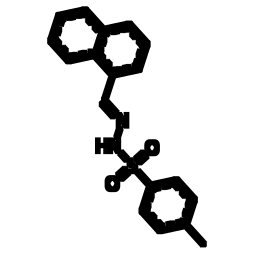 Cc1ccc(S(=O)(=O)N/N=C/c2cccc3ccccc23)cc1